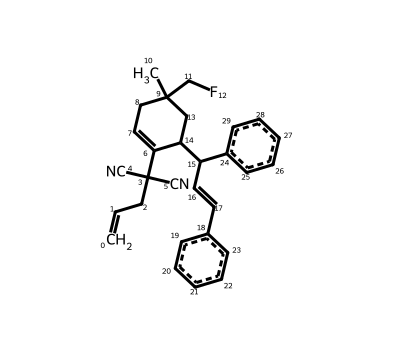 C=CCC(C#N)(C#N)C1=CCC(C)(CF)CC1C(/C=C/c1ccccc1)c1ccccc1